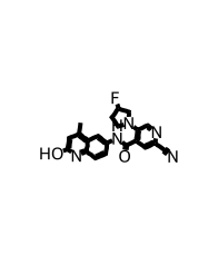 Cc1cc(O)nc2ccc(NC(=O)c3cc(C#N)ncc3N3CCC(F)C3)cc12